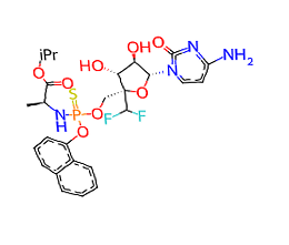 CC(C)OC(=O)[C@H](C)NP(=S)(OC[C@@]1(C(F)F)O[C@@H](n2ccc(N)nc2=O)[C@H](O)[C@H]1O)Oc1cccc2ccccc12